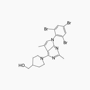 Cc1nc(N2CCC(CO)CC2)c2c(C)cn(-c3c(Br)cc(Br)cc3Br)c2n1